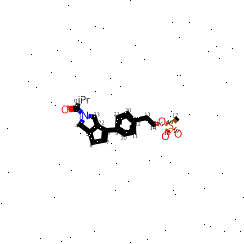 CC(C)C(=O)N1CC2CC=C(c3ccc(CCOS(C)(=O)=O)cc3)C2C1